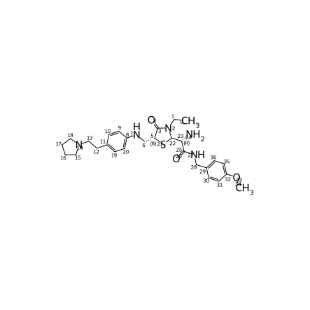 CCN1C(=O)[C@@H](CNc2ccc(CCN3CCCC3)cc2)SC1[C@H](N)C(=O)NCc1ccc(OC)cc1